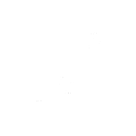 CC/C=C\CC(O)C(O)C/C=C\CCCCCCCC(=O)O